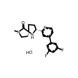 CN1CC[C@@]2(CC[C@H](c3cc(-c4cc(F)cc(F)c4)ccn3)N2)C1=O.Cl